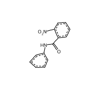 O=C(Nc1ccccc1)c1ccccc1[N+](=O)[O-]